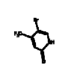 O=c1cc(C(F)(F)F)c(Br)c[nH]1